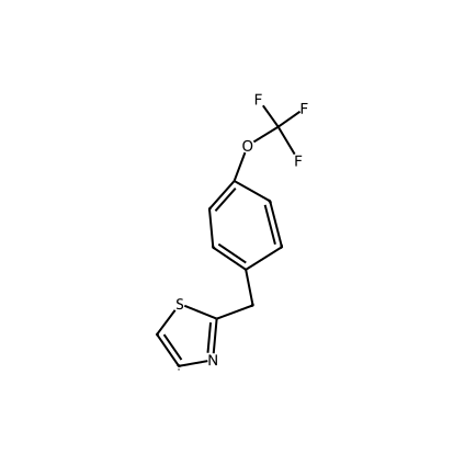 FC(F)(F)Oc1ccc(Cc2n[c]cs2)cc1